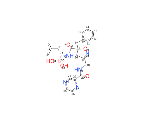 CC(C)C[C@H](NC(=O)C1(Cc2ccccc2)CC(CNC(=O)c2cnccn2)=NO1)B(O)O